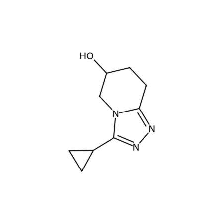 OC1CCc2nnc(C3CC3)n2C1